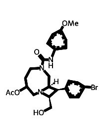 COc1ccc(NC(=O)N2CCC(OC(C)=O)CN3[C@H](CO)[C@H](c4ccc(Br)cc4)[C@@H]3C2)cc1